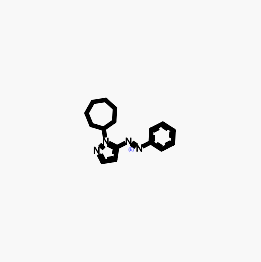 c1ccc(/N=N/c2ccnn2C2CCCCCC2)cc1